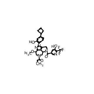 C=CC(=O)N1CC(OC)c2nn(-c3ccc(C4CCC4)cc3O)c3c2C(C1)N(C(=O)c1cnc(C(F)(F)F)c(O)c1)CC3